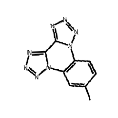 Cc1ccc2c(c1)n1nnnc1c1nnnn21